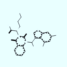 CCCC[C@H](C(=O)O)n1c(=O)c2ccccc2n(C(C)c2c[nH]c3cc(C)cc(C)c23)c1=O